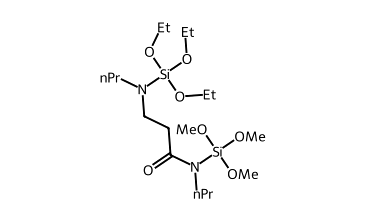 CCCN(CCC(=O)N(CCC)[Si](OC)(OC)OC)[Si](OCC)(OCC)OCC